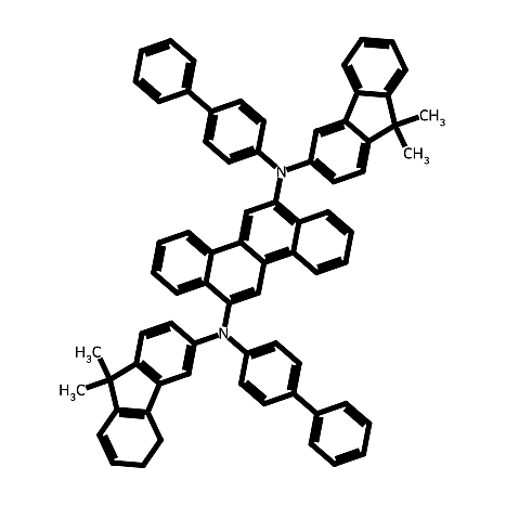 CC1(C)C2=C(CCC=C2)c2cc(N(c3ccc(-c4ccccc4)cc3)c3cc4c5ccccc5c(N(c5ccc(-c6ccccc6)cc5)c5ccc6c(c5)-c5ccccc5C6(C)C)cc4c4ccccc34)ccc21